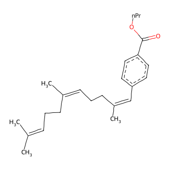 CCCOC(=O)c1ccc(C=C(C)CCC=C(C)CCC=C(C)C)cc1